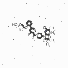 C=C/C(Cl)=C\C1=C(N)OC(C)(C)C(=O)N1C1CCN(C(=O)c2ncc(-c3ccccc3O[C@H](CC)CC(=O)O)cc2F)CC1